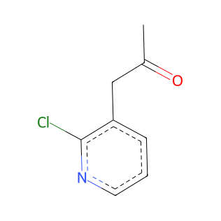 CC(=O)Cc1cccnc1Cl